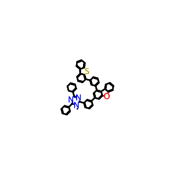 CN1C(c2ccccc2)=NC(C2=CC=CCC2)=NC1c1cccc(-c2cc(-c3cccc(-c4cccc5c4sc4ccccc45)c3)c3c(c2)oc2ccccc23)c1